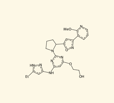 CCc1cc(Nc2cc(OCCO)nc(N3CCCC3c3cc(-c4cccnc4OC)no3)n2)n[nH]1